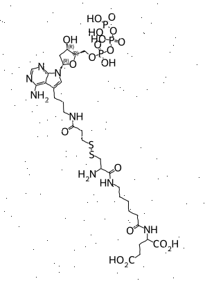 Nc1ncnc2c1c(CCCNC(=O)CCSSCC(N)C(=O)NCCCCCC(=O)NC(CCC(=O)O)C(=O)O)cn2[C@H]1C[C@@H](O)[C@@H](COP(=O)(O)OP(=O)(O)OP(=O)(O)O)O1